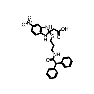 O=C(O)CC1(SCCCNC(=O)C(c2ccccc2)c2ccccc2)Nc2ccc([N+](=O)[O-])cc2N1